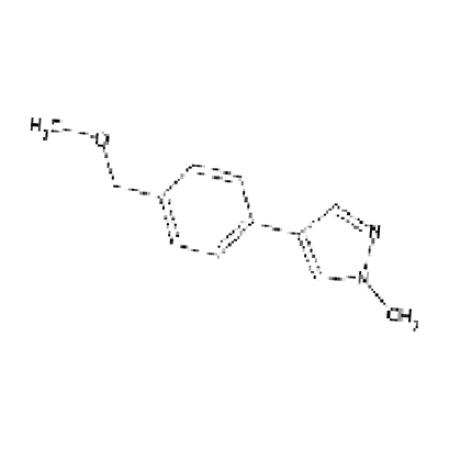 COCc1ccc(-c2cnn(C)c2)cc1